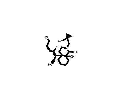 C#C/C(=C(C)\C=C/CO)C12CCCCC1(O)C(C)N(CC1(O)CC1)CC2